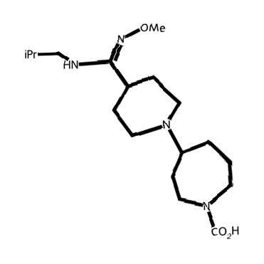 CO/N=C(/NCC(C)C)C1CCN(C2CCCN(C(=O)O)CC2)CC1